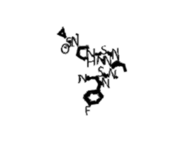 CCc1nc2n(c1N(C)c1nc(-c3ccc(F)cc3)c(C#N)s1)NC(N1CCC(N(C)[S+]([O-])C3CC3)C1)S2